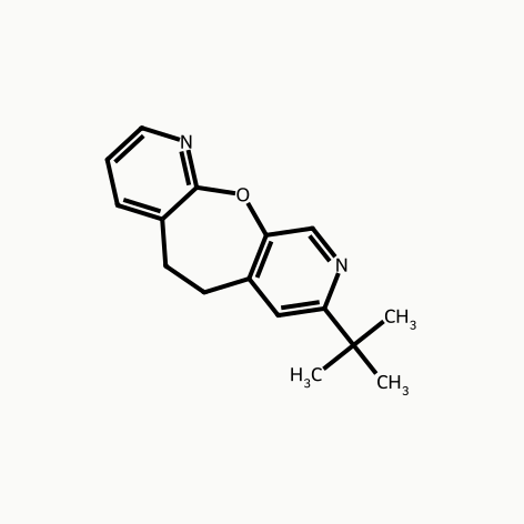 CC(C)(C)c1cc2c(cn1)Oc1ncccc1CC2